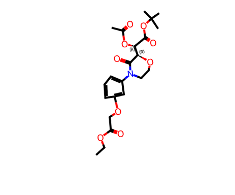 CCOC(=O)COc1cccc(N2CCO[C@H]([C@@H](OC(C)=O)C(=O)OC(C)(C)C)C2=O)c1